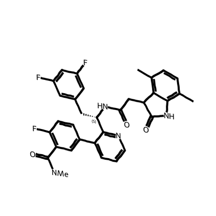 CNC(=O)c1cc(-c2cccnc2[C@H](Cc2cc(F)cc(F)c2)NC(=O)CC2C(=O)Nc3c(C)ccc(C)c32)ccc1F